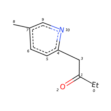 CCC(=O)Cc1ccc(C)cn1